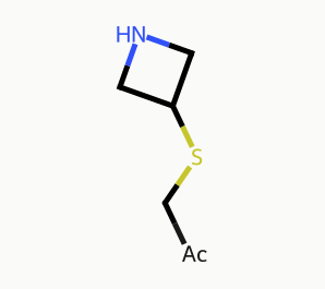 CC(=O)CSC1CNC1